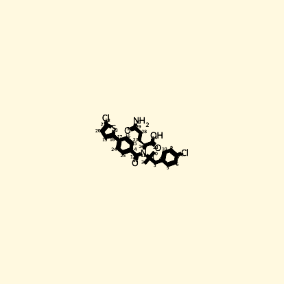 CC(C)(Cc1ccc(Cl)cc1)N(C(=O)c1ccc(-c2ccc(Cl)s2)cc1)[C@@H](CCC(N)=O)C(=O)O